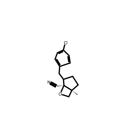 C[C@@]12CCC(Cc3ccc(Cl)cc3)[C@]1(C#N)OC2